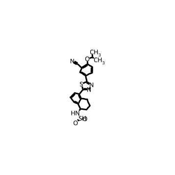 CC(C)Oc1ccc(-c2nnc(-c3cccc4c3CCCC4N[SH](=O)=O)s2)cc1C#N